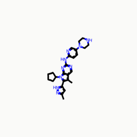 Cc1cc(-c2c(C)c3cnc(Nc4ccc(N5CCNCC5)cn4)nc3n2C2CCCC2)[nH]n1